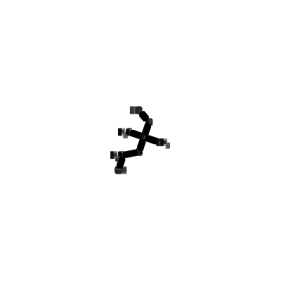 C[Si](C)(OO)O[SiH2]O